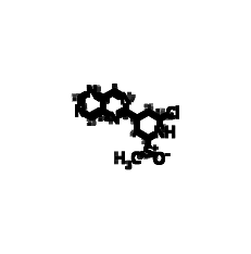 C[S+]([O-])C1CC(c2ncc3ncncc3n2)CC(Cl)N1